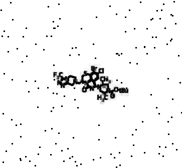 C[C@H]1CN(c2nc(=O)n3c4c(c(Br)c(Cl)cc24)SC[C@@H]3CN2CCn3c(nnc3C(F)(F)F)C2)[C@@H](C)CN1C(=O)OC(C)(C)C